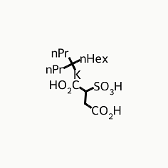 CCCCCC[C]([K])(CCC)CCC.O=C(O)CC(C(=O)O)S(=O)(=O)O